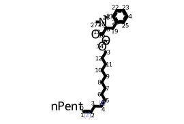 CCCCC/C=C\C/C=C\CCCCCCCCOOC(=O)C(Cc1ccccc1)N(C)C